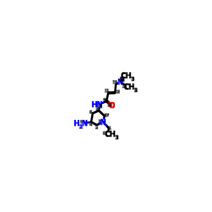 CCN1C[C@@H](N)C[C@@H](NC(=O)/C=C/CN(C)C)C1